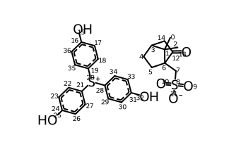 CC1(C)C2CCC1(CS(=O)(=O)[O-])C(=O)C2.Oc1ccc([S+](c2ccc(O)cc2)c2ccc(O)cc2)cc1